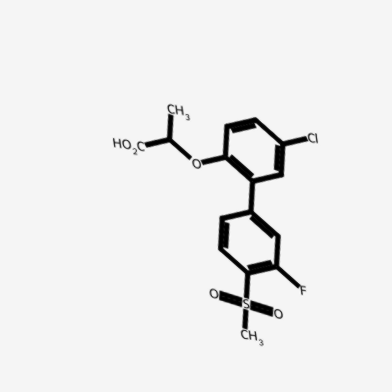 CC(Oc1ccc(Cl)cc1-c1ccc(S(C)(=O)=O)c(F)c1)C(=O)O